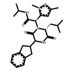 Cc1cc([C@H](C(=O)NC(C)C)N2C(=O)C(C3Cc4ccccc4C3)NC(=O)[C@H]2CC(C)C)n(C)n1